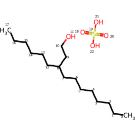 CCCCCCCCC(CCO)CCCCCC.O=S(=O)(O)O